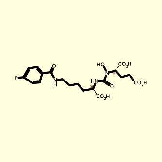 O=C(O)CC[C@@H](C(=O)O)N(O)C(=O)N[C@@H](CCCCNC(=O)c1ccc(F)cc1)C(=O)O